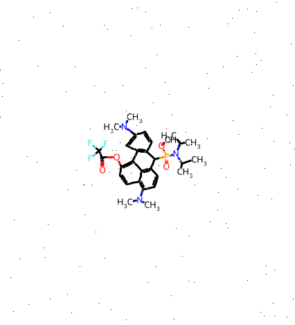 COP(=O)(C1c2ccc(N(C)C)cc2-c2c(OC(=O)C(F)(F)F)ccc3c(N(C)C)ccc1c23)N(C(C)C)C(C)C